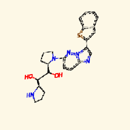 OC(C(O)[C@H]1CCCN1)[C@H]1CCCN1c1ccc2ncc(-c3cc4ccccc4s3)n2n1